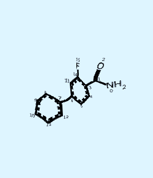 NC(=O)c1ccc(-c2ccccc2)cc1F